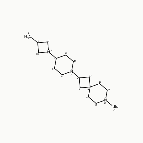 CC1CN(C2CCN(C3CC4(CCN(C(C)(C)C)CC4)C3)CC2)C1